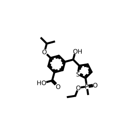 CCOP(C)(=O)c1ccc(C(O)c2cc(OC(C)C)cc(C(=O)O)c2)s1